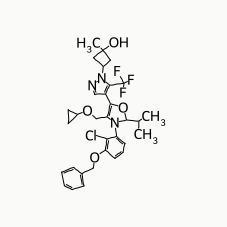 CC(C)C1OC(c2cnn(C3CC(C)(O)C3)c2C(F)(F)F)=C(COC2CC2)N1c1cccc(OCc2ccccc2)c1Cl